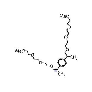 C=C(COCCOCCOCCOC)c1ccc(/C(C)=C\OCCOCCOCCOC)cc1